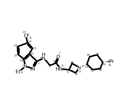 CCn1nc(NCC(=O)NC2CN([C@H]3CC[C@@H](C(C)C)CC3)C2)c2cc(C(F)(F)F)ccc21